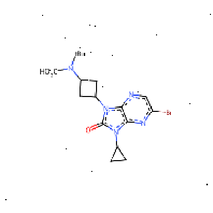 CC(C)(C)N(C(=O)O)C1CC(n2c(=O)n(C3CC3)c3nc(Br)cnc32)C1